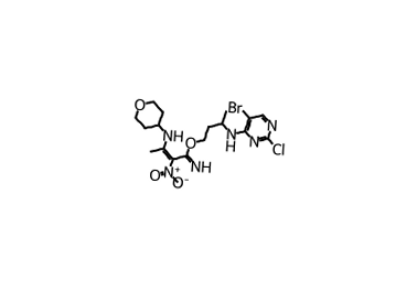 C/C(NC1CCOCC1)=C(/C(=N)OCCC(C)Nc1nc(Cl)ncc1Br)[N+](=O)[O-]